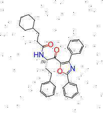 O=C(CCC1CCCCC1)N[C@@H](CCc1ccccc1)C(=O)c1oc(-c2ccccc2)nc1-c1ccccc1